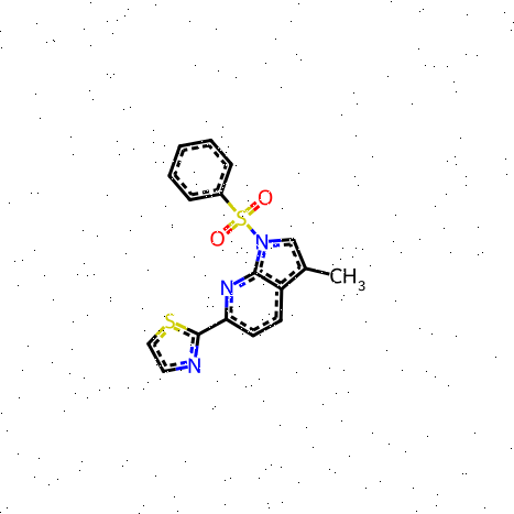 Cc1cn(S(=O)(=O)c2ccccc2)c2nc(-c3nccs3)ccc12